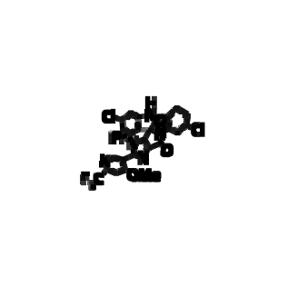 COc1cc(C(F)(F)F)ncc1-c1nc2c(n1C(C)C)C1(C(=O)Nc3cc(Cl)ccc31)N(c1cccc(Cl)c1)C2=O